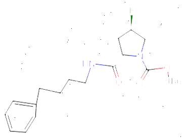 CC(C)(C)OC(=O)N1C[C@H](F)C[C@H]1C(=O)NCCCCc1ccccc1